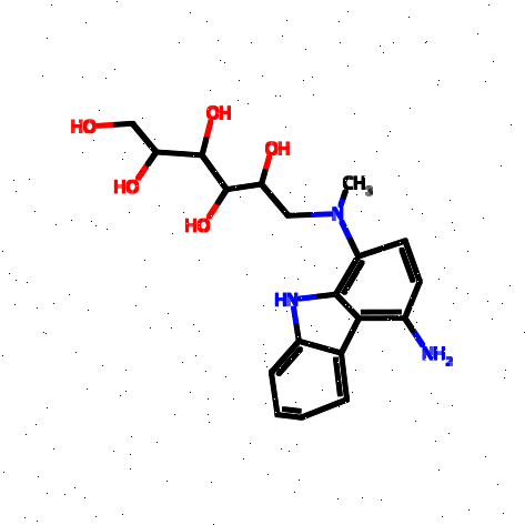 CN(CC(O)C(O)C(O)C(O)CO)c1ccc(N)c2c1[nH]c1ccccc12